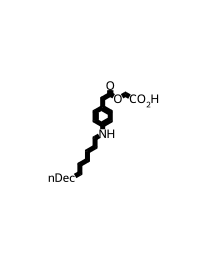 CCCCCCCCCCCCCCCCNc1ccc(CC(=O)OCC(=O)O)cc1